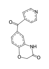 O=C1COc2ccc(C(=O)c3ccncc3)cc2N1